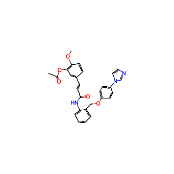 COc1ccc(C=CC(=O)Nc2ccccc2COc2ccc(-n3ccnc3)cc2)cc1OC(C)=O